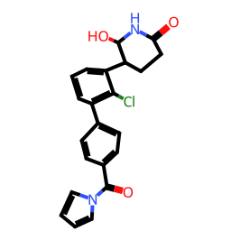 O=C1CCC(c2cccc(-c3ccc(C(=O)n4cccc4)cc3)c2Cl)C(O)N1